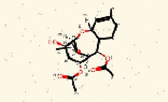 CC(=O)O[C@@H]1C2CCC(C)=C[C@H]2O[C@@H]2[C@H](O)C[C@@H](OC(C)=O)[C@@]1(C)[C@@]21O[C@@H]1C